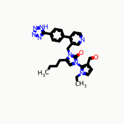 CCCCc1cn(-c2c(C=O)ccn2CC)c(=O)n1Cc1cnccc1-c1ccc(-c2nnn[nH]2)cc1